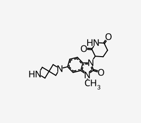 Cn1c(=O)n(C2CCC(=O)NC2=O)c2ccc(N3CC4(CNC4)C3)cc21